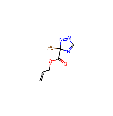 C=CCOC(=O)C1(S)N=CN=N1